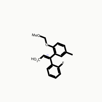 COCOc1ccc(C)cc1/C(=C/C(=O)O)c1ccccc1F